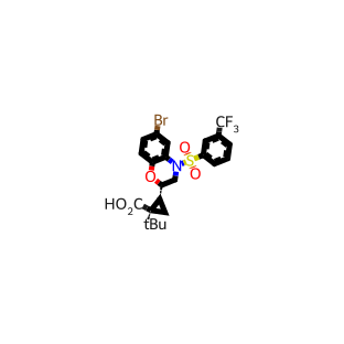 CC(C)(C)[C@@]1(C(=O)O)C[C@H]1C1CN(S(=O)(=O)c2cccc(C(F)(F)F)c2)c2cc(Br)ccc2O1